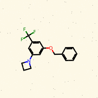 FC(F)(F)c1cc(OCc2ccccc2)cc(N2CCC2)c1